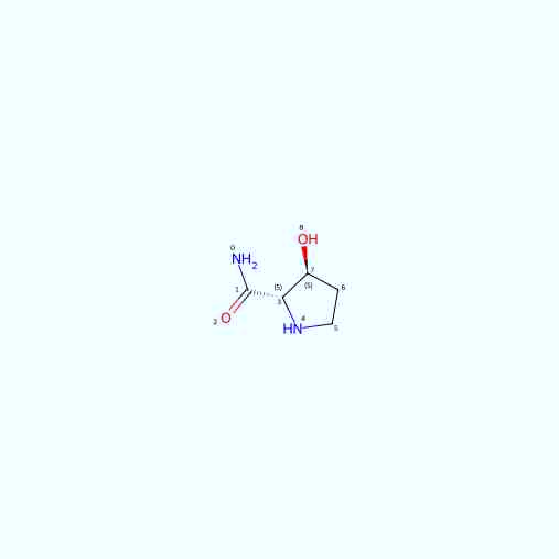 NC(=O)[C@H]1NCC[C@@H]1O